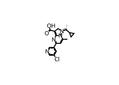 CC1=CC(c2cncc(Cl)c2)=NC2=C(C(=O)O)CN([C@H](C)C3CC3)N12